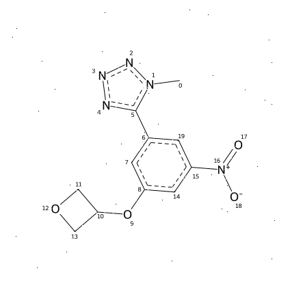 Cn1nnnc1-c1cc(OC2COC2)cc([N+](=O)[O-])c1